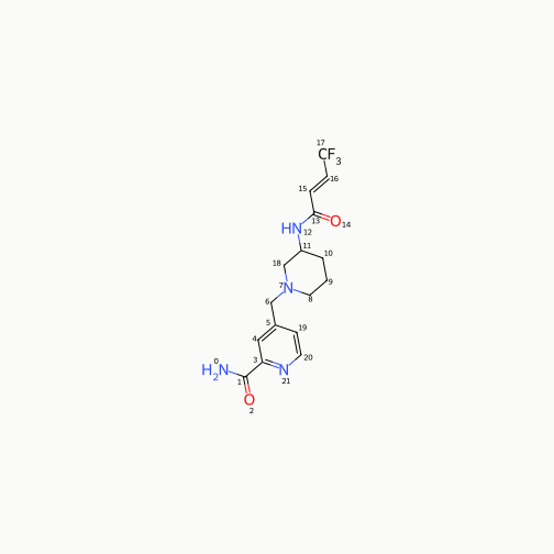 NC(=O)c1cc(CN2CCCC(NC(=O)C=CC(F)(F)F)C2)ccn1